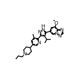 CCCN1CCC(c2cnc(-c3n[nH]c(-c4cc(OC)c5ncnn5c4)c3C(C)C)c(C)c2)CC1